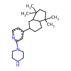 CC1(C)CCC(C)(C)C2CC(c3ccnc(N4CCNCC4)c3)CCC21